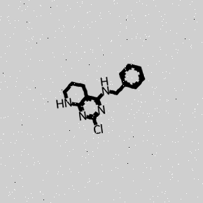 Clc1nc2c(c(NCc3ccccc3)n1)CCCN2